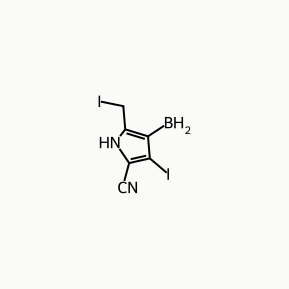 Bc1c(CI)[nH]c(C#N)c1I